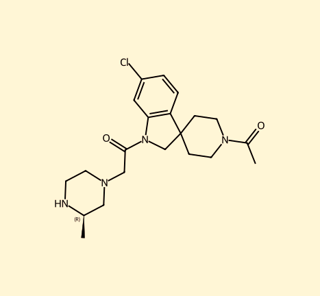 CC(=O)N1CCC2(CC1)CN(C(=O)CN1CCN[C@H](C)C1)c1cc(Cl)ccc12